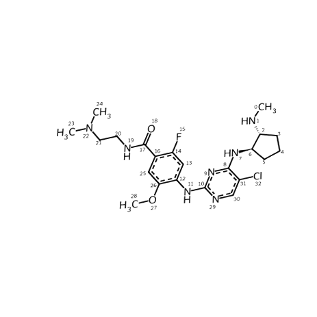 CN[C@@H]1CCC[C@H]1Nc1nc(Nc2cc(F)c(C(=O)NCCN(C)C)cc2OC)ncc1Cl